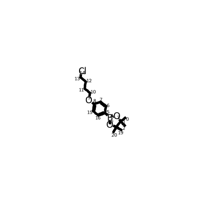 CC1(C)OB(c2ccc(OCCCCCl)cc2)OC1(C)C